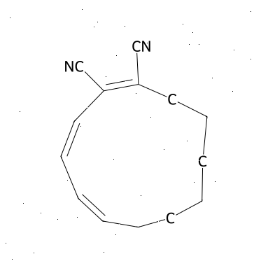 N#CC1=C(C#N)CCCCCCC=CC=C1